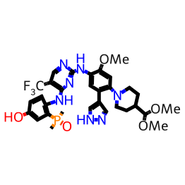 COc1cc(N2CCC(C(OC)OC)CC2)c(-c2cn[nH]c2)cc1Nc1ncc(C(F)(F)F)c(Nc2ccc(O)cc2P(C)(C)=O)n1